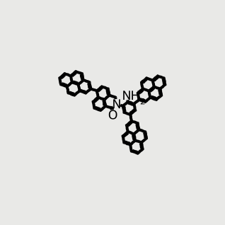 Nc1c(-c2cc3ccc4cccc5ccc(c2)c3c45)cc(-c2cc3ccc4cccc5ccc(c2)c3c45)cc1N1Cc2ccc(-c3cc4ccc5cccc6ccc(c3)c4c56)c3cccc(c23)C1=O